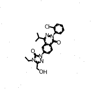 CCn1c(CO)nn(-c2ccc3c(=O)n(-c4ccccc4Cl)nc(C(C)C)c3c2)c1=O